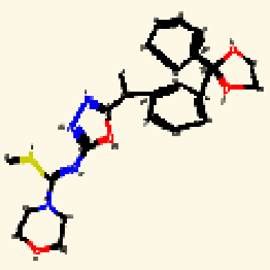 CSC(=Nc1nnc(C(C)c2cccc(C3(c4ccccc4)OCCO3)c2)o1)N1CCOCC1